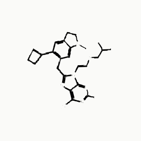 CC(C)CNCCn1c(Cc2cc3c(cc2C2CCC2)CCN3C)nc2c(N)nc(F)nc21